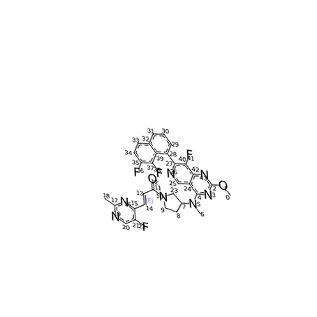 COc1nc(N(C)C2CCN(C(=O)/C=C/c3nc(C)ncc3F)C2)c2cnc(-c3cccc4ccc(F)c(F)c34)c(F)c2n1